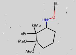 CCCC1(OC)C(NOCC)CCC[Si]1(OC)OC